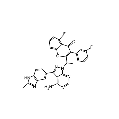 Cc1nc2cc(-c3nn(C(C)c4oc5cccc(F)c5c(=O)c4-c4cccc(F)c4)c4ncnc(N)c34)ccc2[nH]1